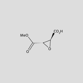 COC(=O)[C@H]1O[C@@H]1C(=O)O